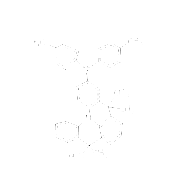 Cc1ccc(N(c2ccc(C#N)cc2)c2ccc3c(c2)C(C)(C)c2cccc4c2N3c2ccccc2C4(C)C)cc1